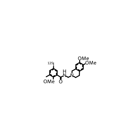 COc1cc2c(cc1OC)CN(CNC(=O)c1cc([125I])cc(C)c1OC)CC2